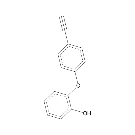 C#Cc1ccc(Oc2ccccc2O)cc1